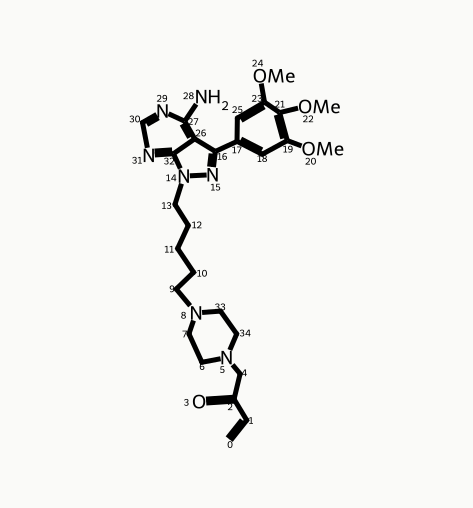 C=CC(=O)CN1CCN(CCCCCn2nc(-c3cc(OC)c(OC)c(OC)c3)c3c(N)ncnc32)CC1